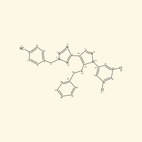 N#Cc1ccc(Cn2nnc(-c3cnn(-c4cc(Cl)cc(Cl)c4)c3SCc3ccccc3)n2)cc1